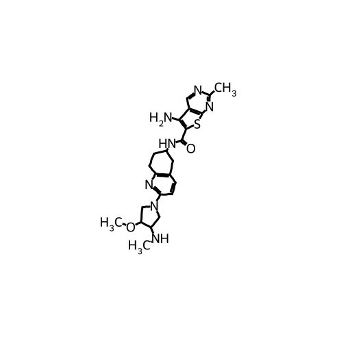 CNC1CN(c2ccc3c(n2)CCC(NC(=O)c2sc4nc(C)ncc4c2N)C3)CC1OC